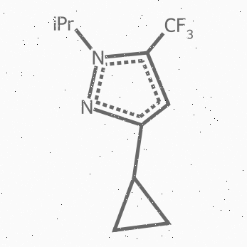 CC(C)n1nc(C2CC2)cc1C(F)(F)F